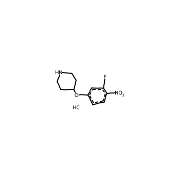 Cl.O=[N+]([O-])c1ccc(OC2CCNCC2)cc1F